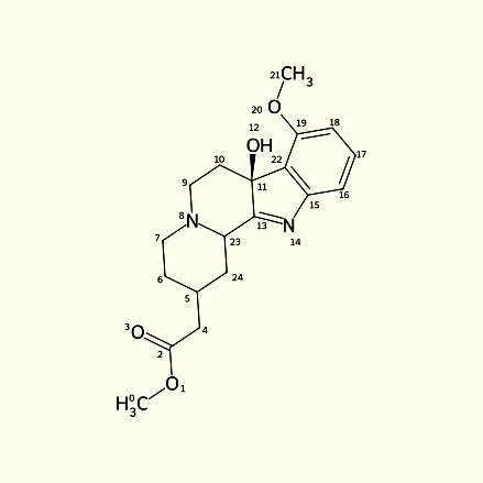 COC(=O)CC1CCN2CC[C@@]3(O)C(=Nc4cccc(OC)c43)C2C1